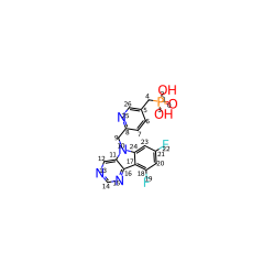 O=P(O)(O)Cc1ccc(Cn2c3cncnc3c3c(F)cc(F)cc32)nc1